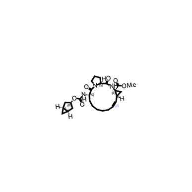 COC(=O)[C@@]12C[C@H]1/C=C\CCCCC[C@H](NC(=O)O[C@@H]1C[C@@H]3C[C@@H]3C1)C(=O)N1CCC[C@H]1C(=O)N2